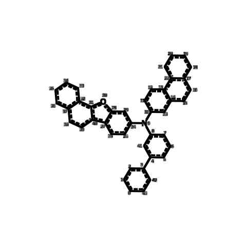 c1ccc(-c2cccc(N(c3ccc4c(ccc5ccccc54)c3)c3ccc4c(c3)oc3c5ccccc5ccc43)c2)cc1